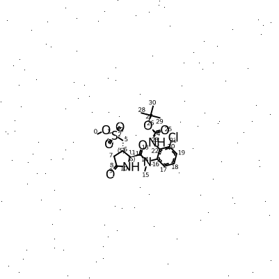 COS(=O)(=O)C[C@H]1CC(=O)N[C@@H]1C(=O)N(C)c1cccc(Cl)c1NC(=O)OC(C)(C)C